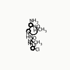 Cc1c(C(=O)N[C@H]2CCC[C@@H](C)C(=O)Nc3cc(N)ccc3-c3ccnc2c3)nnn1-c1cccc(Cl)c1F